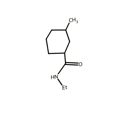 CCNC(=O)C1CCCC(C)C1